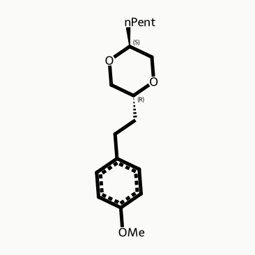 CCCCC[C@H]1CO[C@H](CCc2ccc(OC)cc2)CO1